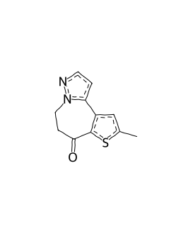 Cc1cc2c(s1)C(=O)CCn1nccc1-2